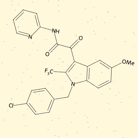 COc1ccc2c(c1)c(C(=O)C(=O)Nc1ccccn1)c(C(F)(F)F)n2Cc1ccc(Cl)cc1